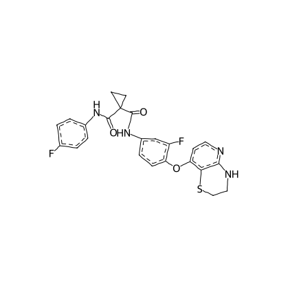 O=C(Nc1ccc(F)cc1)C1(C(=O)Nc2ccc(Oc3ccnc4c3SCCN4)c(F)c2)CC1